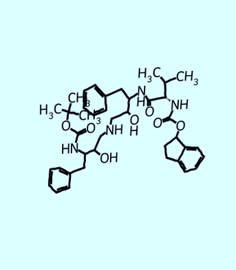 CC(C)[C@H](NC(=O)OC1CCc2ccccc21)C(=O)NC(Cc1ccccc1)C(O)CNCC(O)C(Cc1ccccc1)NC(=O)OC(C)(C)C